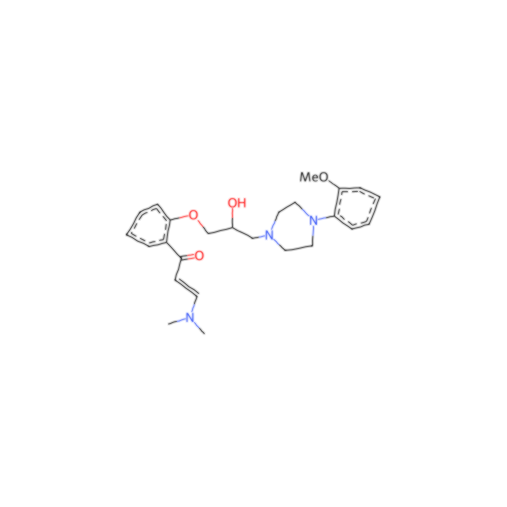 COc1ccccc1N1CCN(CC(O)COc2ccccc2C(=O)C=CN(C)C)CC1